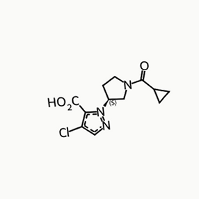 O=C(O)c1c(Cl)cnn1[C@H]1CCN(C(=O)C2CC2)C1